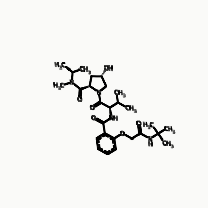 CC(C)[C@@H](NC(=O)c1ccccc1OCC(=O)NC(C)(C)C)C(=O)N1C[C@@H](O)C[C@@H]1C(=O)N(C)C(C)C